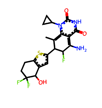 CC1=c2c(c(=O)[nH]c(=O)n2C2CC2)=C(N)C(F)C1c1cc2c(s1)CCC(F)(F)C2O